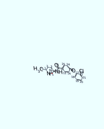 CC1CC2CCN1CC2NC(=O)c1ccc(Oc2ccccc2Cl)cc1